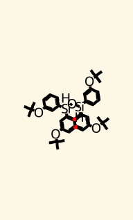 CC(C)(C)Oc1cccc([SiH](O[SiH](c2cccc(OC(C)(C)C)c2)c2cccc(OC(C)(C)C)c2)c2cccc(OC(C)(C)C)c2)c1